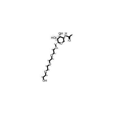 CC(=O)N[C@H]1CO[C@H](COCCOCCOCCOCCO)[C@H](O)[C@@H]1O